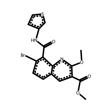 COC(=O)c1cc2ccc(Br)c(C(=O)Nc3ccsc3)c2nc1OC